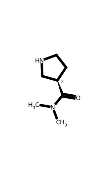 CN(C)C(=O)[C@@H]1CCNC1